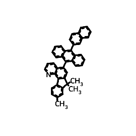 Cc1ccc2c(c1)C(C)(C)c1cc(-c3c4ccccc4c(-c4ccc5ccccc5c4)c4ccccc34)c3cccnc3c1-2